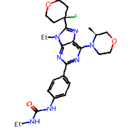 CCNC(=O)Nc1ccc(-c2nc(N3CCOC[C@@H]3C)c3nc(C4(F)CCOCC4)n(CC)c3n2)cc1